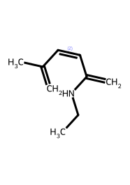 C=C(C)/C=C\C(=C)NCC